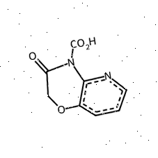 O=C(O)N1C(=O)COc2cccnc21